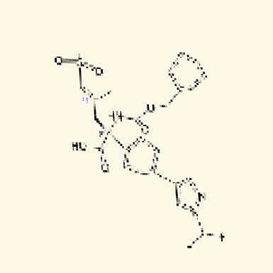 C/C(=C\S(C)(=O)=O)C[C@](NC(=O)OCc1ccccc1)(C(=O)O)c1ccc(-c2cnn(C(F)F)c2)cc1